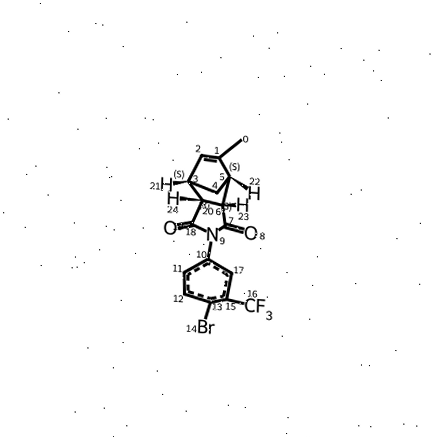 CC1=C[C@@H]2C[C@H]1[C@@H]1C(=O)N(c3ccc(Br)c(C(F)(F)F)c3)C(=O)[C@@H]12